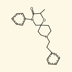 CC1OC2(CCN(CCc3ccccn3)CC2)CN(c2ccccc2)C1=O